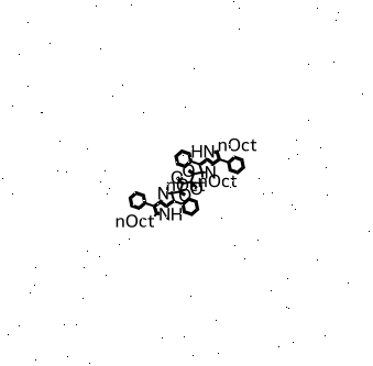 CCCCCCCCc1[nH]c2c(c1-c1ccccc1)=NC(CCCCCCCC)(C(=O)C(=O)C(=O)C(=O)C1(CCCCCCCC)N=c3c(-c4ccccc4)c(CCCCCCCC)[nH]c3=C1c1ccccc1)C=2c1ccccc1